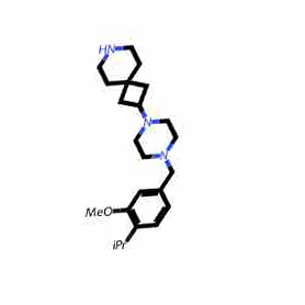 COc1cc(CN2CCN(C3CC4(CCNCC4)C3)CC2)ccc1C(C)C